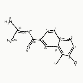 Cc1c(Cl)cnc2ccc(C(=O)N=C(N)N)cc12